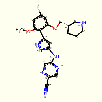 COc1cc(F)cc(OC[C@H]2CCCNC2)c1-c1cc(Nc2cnc(C#N)cn2)n[nH]1